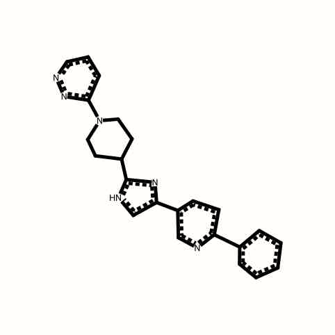 c1ccc(-c2ccc(-c3c[nH]c(C4CCN(c5cccnn5)CC4)n3)cn2)cc1